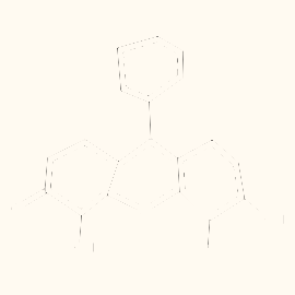 O=c1ccc2c(-c3ccccc3)c3ccc(O)c(O)c3oc-2c1O